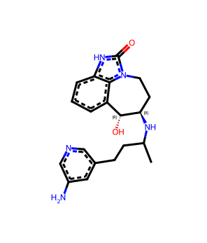 CC(CCc1cncc(N)c1)N[C@@H]1CCn2c(=O)[nH]c3cccc(c32)[C@H]1O